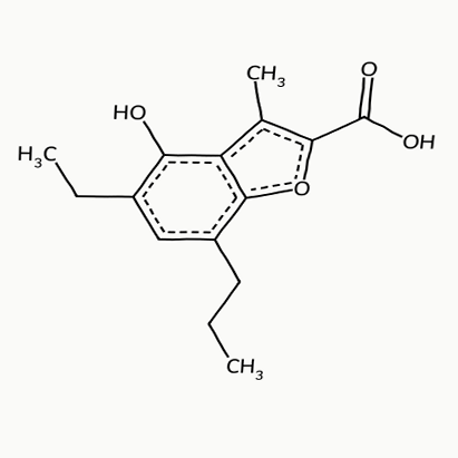 CCCc1cc(CC)c(O)c2c(C)c(C(=O)O)oc12